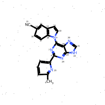 Cc1cccc(-c2nc(-n3ccc4cc(C#N)ccc43)c3nc[nH]c3n2)n1